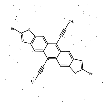 CC#Cc1c2cc3cc(Br)sc3cc2c(C#CC)c2cc3cc(Br)sc3cc12